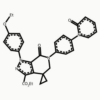 CCOC(=O)c1nn(-c2ccc(OCC)cc2)c2c1C1(CC1)CN(c1ccc(-n3ccccc3=O)cc1)C2=O